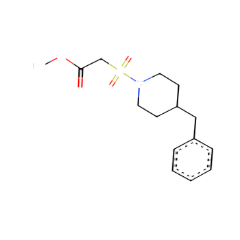 COC(=O)CS(=O)(=O)N1CCC(Cc2ccccc2)CC1